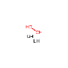 OO.[LiH].[LiH]